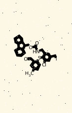 Cc1ccc(Sc2c(Cl)cc(CI)cc2CNC(=O)OCC2c3ccccc3-c3ccccc32)c(C=O)c1